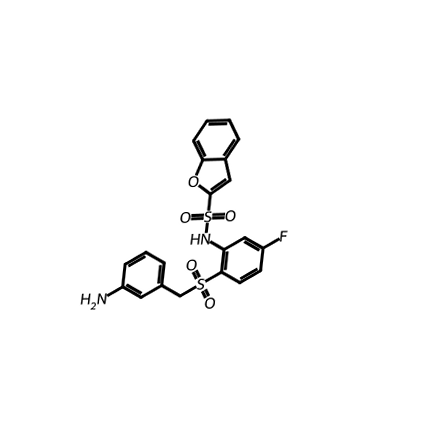 Nc1cccc(CS(=O)(=O)c2ccc(F)cc2NS(=O)(=O)c2cc3ccccc3o2)c1